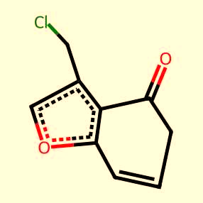 O=C1CC=Cc2occ(CCl)c21